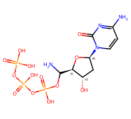 Nc1ccn([C@H]2C[C@H](O)[C@@H](C(N)OP(=O)(O)OP(=O)(O)OP(=O)(O)O)O2)c(=O)n1